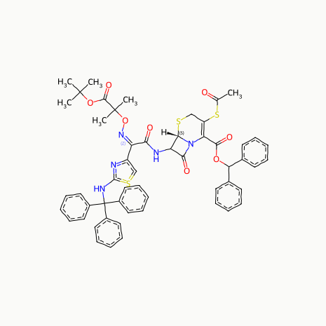 CC(=O)SC1=C(C(=O)OC(c2ccccc2)c2ccccc2)N2C(=O)C(NC(=O)/C(=N\OC(C)(C)C(=O)OC(C)(C)C)c3csc(NC(c4ccccc4)(c4ccccc4)c4ccccc4)n3)[C@@H]2SC1